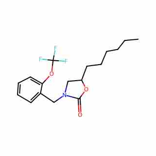 CCCCCCC1CN(Cc2ccccc2OC(F)(F)F)C(=O)O1